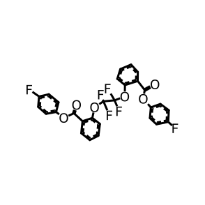 O=C(Oc1ccc(F)cc1)c1ccccc1OC(F)(F)C(F)(F)Oc1ccccc1C(=O)Oc1ccc(F)cc1